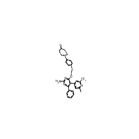 Cc1cc(-c2c(OCCc3ccc(N4CCC(=O)CC4)cc3)nc(N)nc2-c2ccccc2)cc(C(F)(F)F)n1